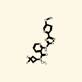 CC(C)Oc1ccc(-c2nsc(Nc3ncccc3C(=O)N(C)C3CC(F)(F)C3)n2)nc1